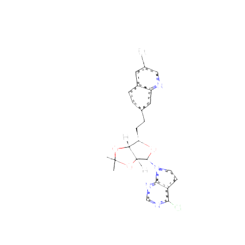 CCc1cnc2cc(CC[C@H]3O[C@@H](n4ccc5c(Cl)ncnc54)[C@@H]4OC(C)(C)O[C@@H]43)ccc2c1